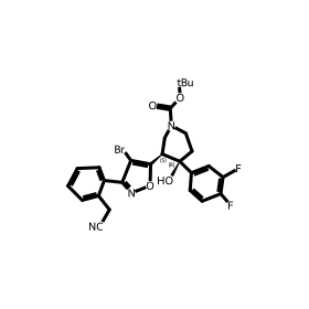 CC(C)(C)OC(=O)N1CC[C@](O)(c2ccc(F)c(F)c2)[C@@H](c2onc(-c3ccccc3CC#N)c2Br)C1